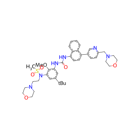 COc1c(NC(=O)Nc2ccc(-c3ccc(CN4CCOCC4)nc3)c3ccccc23)cc(C(C)(C)C)cc1N(CCN1CCOCC1)S(C)(=O)=O